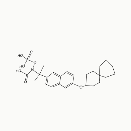 CC(C)(c1ccc2cc(OC3CCC4(CCCCC4)CC3)ccc2c1)N(OP(=O)(O)O)C(=O)O